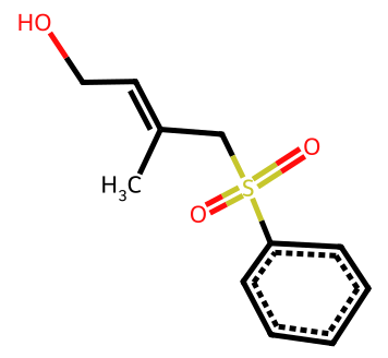 C/C(=C\CO)CS(=O)(=O)c1ccccc1